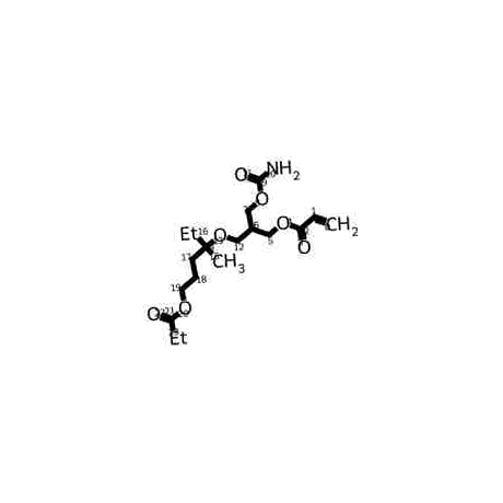 C=CC(=O)OCC(COC(N)=O)COC(C)(CC)CCCOC(=O)CC